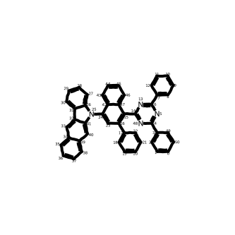 c1ccc(-c2nc(-c3ccccc3)nc(-c3c(-c4ccccc4)cc(-n4c5ccccc5c5cc6ccccc6cc54)c4ccccc34)n2)cc1